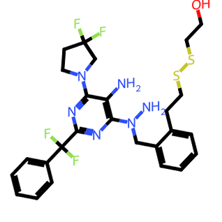 Nc1c(N(N)Cc2ccccc2CCSSCCO)nc(C(F)(F)c2ccccc2)nc1N1CCC(F)(F)C1